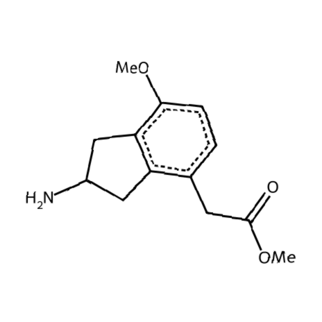 COC(=O)Cc1ccc(OC)c2c1CC(N)C2